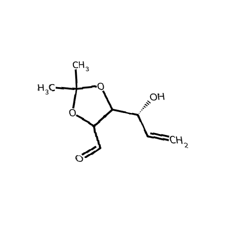 C=C[C@@H](O)C1OC(C)(C)OC1C=O